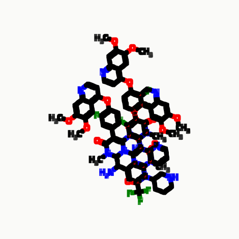 COc1cc2nccc(Oc3ccc(C4=CN(C5=C(c6ccc(Oc7ccnc8cc(OC)c(OC)cc78)c(F)c6)C(=O)N(C)C(C(N)c6ccccc6)N5c5nc(N(C(=O)C(F)(F)F)C6CCCNC6)n(C)c(=O)c5-c5ccc(Oc6ccnc7cc(OC)c(OC)cc67)c(F)c5)C(Nc5ccccn5)N(C)C4=O)cc3F)c2cc1OC